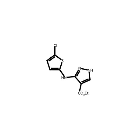 CCOC(=O)c1c[nH]nc1Nc1ccc(Cl)s1